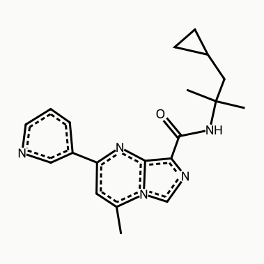 Cc1cc(-c2cccnc2)nc2c(C(=O)NC(C)(C)CC3CC3)ncn12